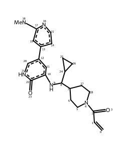 C=CC(=O)N1CCC(C(Nc2cc(-c3ccnc(NC)c3)c[nH]c2=O)C2CC2)CC1